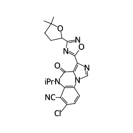 CC(C)n1c(=O)c2c(-c3nc(C4CCC(C)(C)O4)no3)ncn2c2ccc(Cl)c(C#N)c21